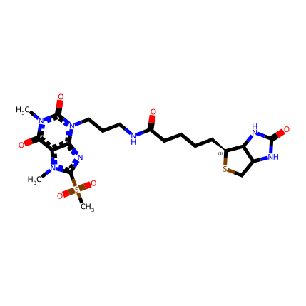 Cn1c(=O)c2c(nc(S(C)(=O)=O)n2C)n(CCCNC(=O)CCCC[C@@H]2SCC3NC(=O)NC32)c1=O